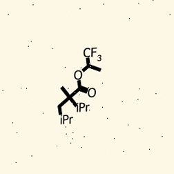 CC(C)CC(C)(C(=O)OC(C)C(F)(F)F)C(C)C